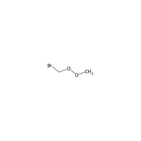 COOCBr